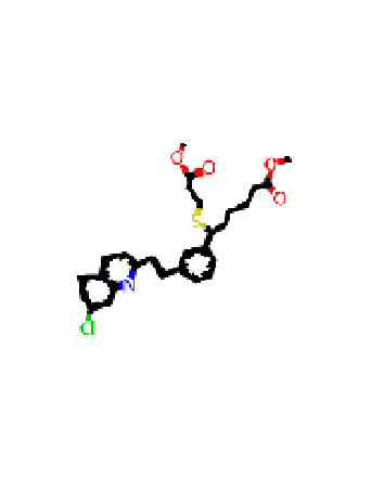 COC(=O)CCCCC(SCCC(=O)OC)c1cccc(C=Cc2ccc3ccc(Cl)cc3n2)c1